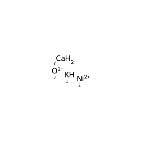 [CaH2].[KH].[Ni+2].[O-2]